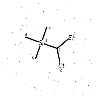 CCC(CC)[Si](C)(C)C